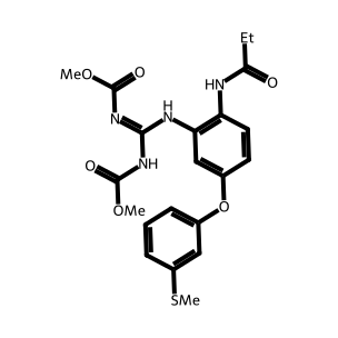 CCC(=O)Nc1ccc(Oc2cccc(SC)c2)cc1NC(=NC(=O)OC)NC(=O)OC